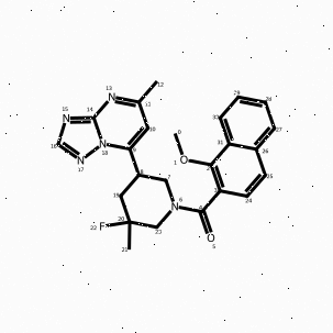 COc1c(C(=O)N2CC(c3cc(C)nc4ncnn34)CC(C)(F)C2)ccc2ccccc12